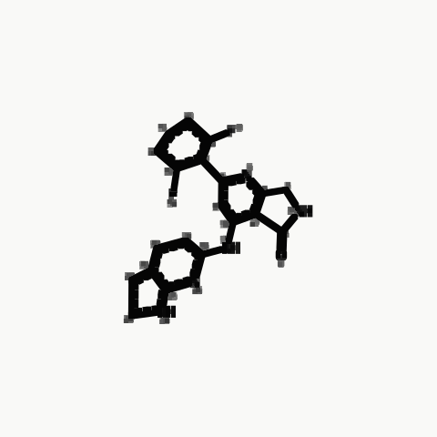 O=C1NCc2nc(-c3c(F)cccc3F)cc(Nc3ccc4cc[nH]c4n3)c21